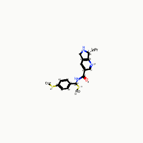 CCC[C@H]1NCc2cc(C(=O)N[C@@H](SN=O)c3ccc(SCC)cc3)cnc21